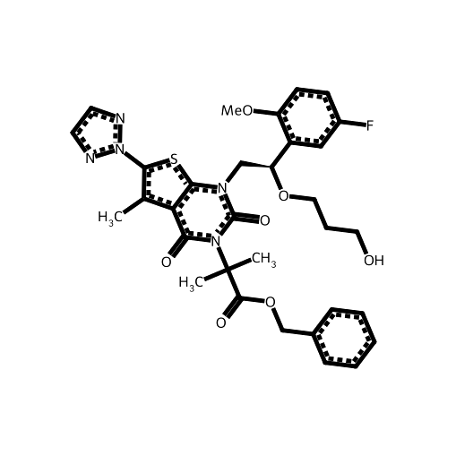 COc1ccc(F)cc1[C@H](Cn1c(=O)n(C(C)(C)C(=O)OCc2ccccc2)c(=O)c2c(C)c(-n3nccn3)sc21)OCCCO